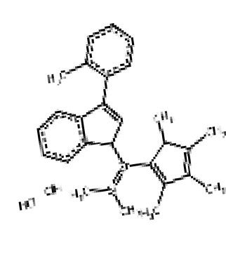 CC1=C(C)C(C)[C]([Zr]([CH]2C=C(c3ccccc3C)c3ccccc32)=[Si](C)C)=C1C.Cl.Cl